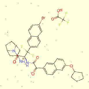 NC1CC2CCC(C1)N2C(=O)[C@H](NC(=O)C(=O)c1ccc2cc(OC3CCCC3)ccc2c1)C(F)(F)c1ccc2cc(Br)ccc2c1.O=C(O)C(F)(F)F